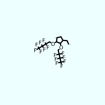 [CH2]CC1C[CH]C(OCC(F)(F)C(F)(F)C(F)(F)F)C1OCC(F)(F)C(F)(F)C(F)(F)F